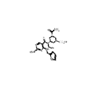 CC(C)CN(C(=O)c1cnc(C(C)(C)C)nc1NCc1ccco1)[C@H]1C[C@@H](C(N)=O)CN(C(=O)O)C1